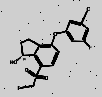 O=S(=O)(CF)c1ccc(Oc2cc(F)cc(Cl)c2)c2c1[C@H](O)CC2